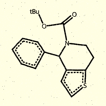 CC(C)(C)OC(=O)N1CCc2sccc2C1c1ccccc1